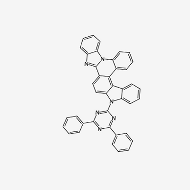 c1ccc(-c2nc(-c3ccccc3)nc(-n3c4ccccc4c4c5c6ccccc6n6c7ccccc7nc6c5ccc43)n2)cc1